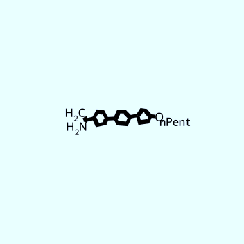 C=C(N)c1ccc(-c2ccc(-c3ccc(OCCCCC)cc3)cc2)cc1